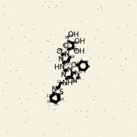 O=C1CCCC[C@H]1n1cnc2c(NCc3nc4ccccc4s3)nc(Nc3ccn(C4O[C@H](CO)[C@@H](O)[C@H]4O)c(=O)n3)nc21